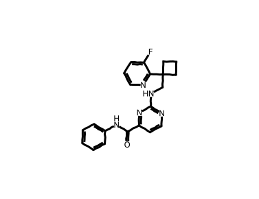 O=C(Nc1ccccc1)c1ccnc(NCC2(c3ncccc3F)CCC2)n1